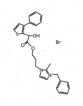 Cc1n(CCCOC(=O)C(O)c2sccc2-c2ccccc2)cc[n+]1Cc1ccccc1.[Br-]